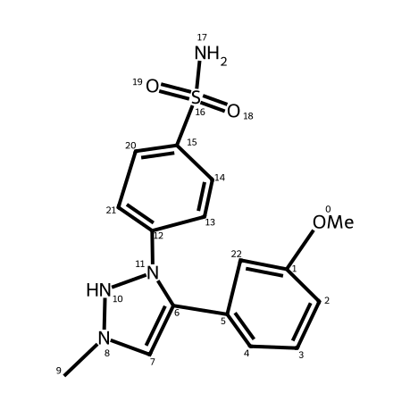 COc1cccc(C2=CN(C)NN2c2ccc(S(N)(=O)=O)cc2)c1